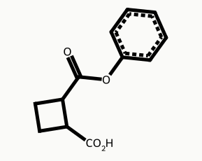 O=C(O)C1CCC1C(=O)Oc1ccccc1